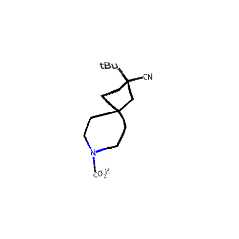 CC(C)(C)C1(C#N)CC2(CCN(C(=O)O)CC2)C1